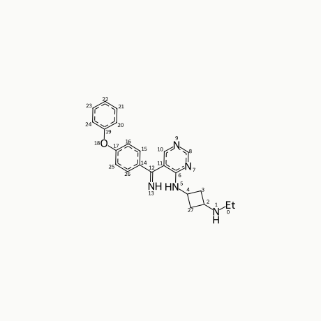 CCNC1CC(Nc2ncncc2C(=N)c2ccc(Oc3ccccc3)cc2)C1